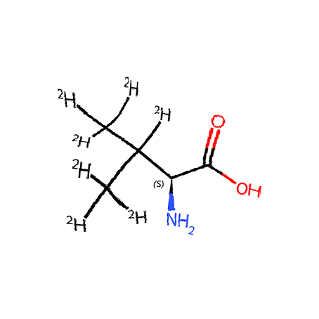 [2H]C([2H])([2H])C([2H])([C@H](N)C(=O)O)C([2H])([2H])[2H]